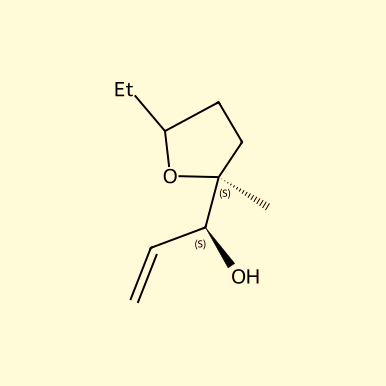 C=C[C@H](O)[C@]1(C)CCC(CC)O1